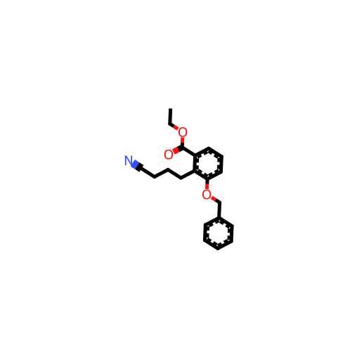 CCOC(=O)c1cccc(OCc2ccccc2)c1CCCC#N